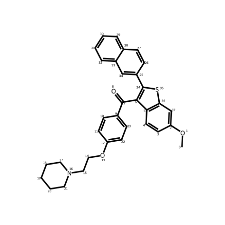 COc1ccc2c(C(=O)c3ccc(OCCN4CCCCC4)cc3)c(-c3ccc4ccccc4c3)sc2c1